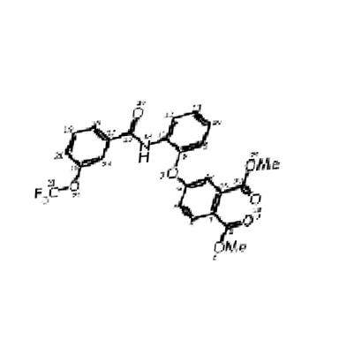 COC(=O)c1ccc(Oc2ccccc2NC(=O)c2cccc(OC(F)(F)F)c2)cc1C(=O)OC